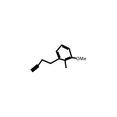 C#CCCc1cccc(OC)c1C